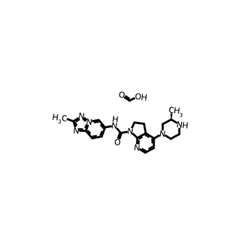 Cc1nc2ccc(NC(=O)N3CCc4c(N5CCN[C@H](C)C5)ccnc43)cn2n1.O=CO